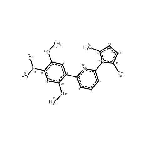 COc1cc(-c2cccc(-n3c(C)ccc3C)n2)c(OC)cc1B(O)O